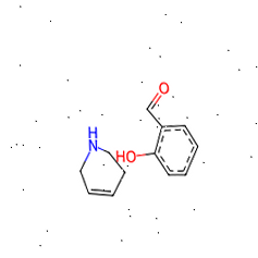 C1=CCNCC1.O=Cc1ccccc1O